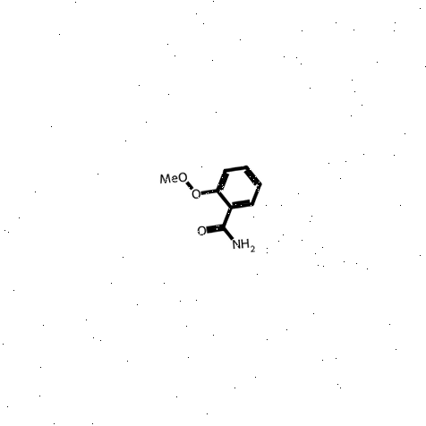 COOc1ccccc1C(N)=O